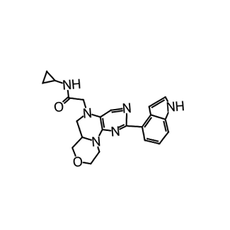 O=C(CN1CC2COCCN2c2nc(-c3cccc4[nH]ccc34)ncc21)NC1CC1